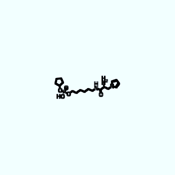 N[C@@H](Cn1cccc1)C(=O)NCCCCCCOP(=O)(O)OC1CCCC1